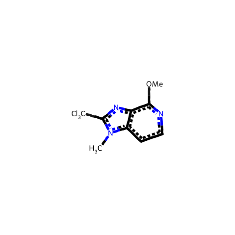 COc1nccc2c1nc(C(Cl)(Cl)Cl)n2C